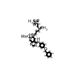 CON1C=c2ncnc(Nc3ccc(OCc4ccccc4)cc3)c2=CC1NCCCN(C)CCS(C)(=O)=O